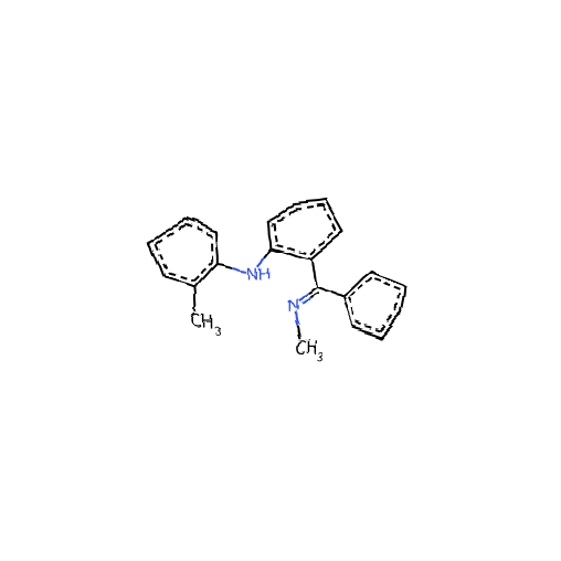 C/N=C(\c1ccccc1)c1ccccc1Nc1ccccc1C